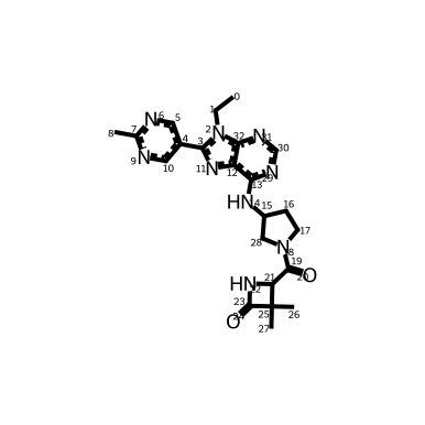 CCn1c(-c2cnc(C)nc2)nc2c(NC3CCN(C(=O)C4NC(=O)C4(C)C)C3)ncnc21